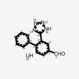 O=Cc1ccc(-c2ccccc2)c(-c2nnn[nH]2)c1.[LiH]